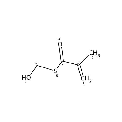 C=C(C)C(=O)SCO